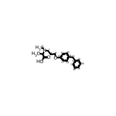 CC(C(=O)O)N(C)CCCOc1ccc(Cc2ccccc2)cc1